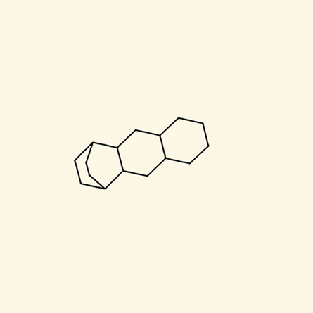 C1CCC2CC3C4CCC(CC4)C3CC2C1